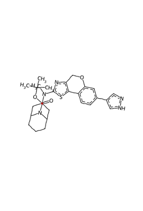 CN(c1nc2c(s1)-c1ccc(-c3cn[nH]c3)cc1OC2)C1CC2CCCC(C1)N2C(=O)OC(C)(C)C